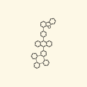 c1ccc2c(c1)-c1ccccc1-c1ccc(-c3c4ccccc4c(-c4ccc(-c5cccc6c5oc5ccccc56)cc4)c4ccccc34)cc1-c1ccccc1-2